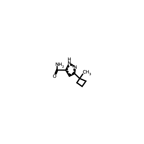 CC1(c2cc(C(N)=O)[nH]n2)CCC1